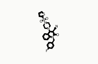 N#Cc1c(N2CCN(S(=O)(=O)c3cccs3)CC2)c2ccccc2n(Cc2ccc(F)cc2)c1=O